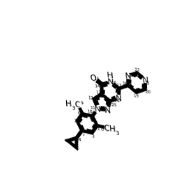 Cc1cc(C2CC2)cc(C)c1-n1cc2c(=O)[nH]c(-c3ccncn3)nc2n1